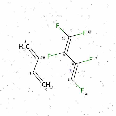 C=CC=C.F/C=C(\F)C(F)=C(F)F